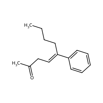 CCCCC(=CCC(C)=O)c1ccccc1